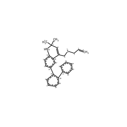 C=CCSCC1=CC(C)(C)Nc2ccc(-c3ccccc3-c3ccccc3)cc21